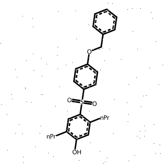 CCCc1cc(S(=O)(=O)c2ccc(OCc3ccccc3)cc2)c(CCC)cc1O